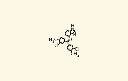 Cc1ccc(B(Oc2cccc3[nH]cnc23)c2ccc(C)c(Cl)c2)cc1Cl